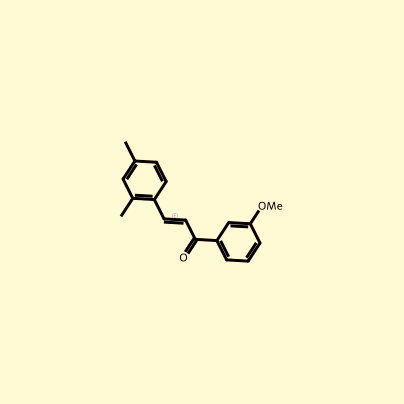 COc1cccc(C(=O)/C=C/c2ccc(C)cc2C)c1